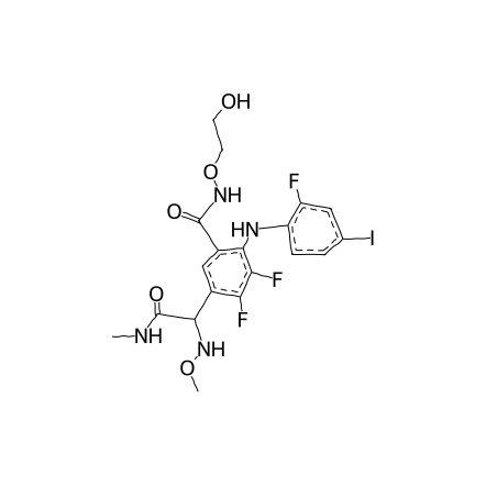 CNC(=O)C(NOC)c1cc(C(=O)NOCCO)c(Nc2ccc(I)cc2F)c(F)c1F